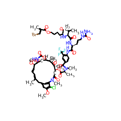 C=C(CBr)C(=O)OCCCCC(C=O)N[C@H](C(=O)N[C@@H](CCCNC(N)=O)C(=O)Nc1ccc(C(=O)N(C)[C@@H](C)C(=O)O[C@H]2CC(=O)N(C)c3cc(cc(OC)c3Cl)C/C(C)=C/C=C/[C@@H](OC)[C@@]3(O)C[C@H](OC(=O)N3)[C@@H](C)[C@@H]3O[C@@]23C)cc1C(F)(F)F)C(C)C